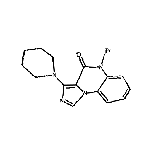 CC(C)n1c(=O)c2c(N3CCCCC3)ncn2c2ccccc21